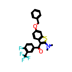 CN(C)c1sc2cc(OCc3ccccc3)ccc2c1C(=O)c1ccc(F)c(C(F)(F)F)c1